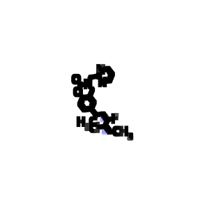 C/C=C(Cl)\C(F)=C/C(C)c1ccc2c(c1)CN(Cc1ncccn1)C(=O)O2